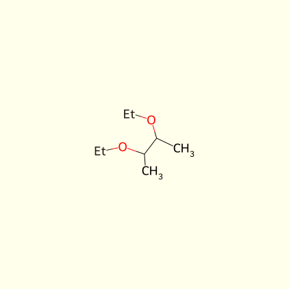 CCOC(C)C(C)OCC